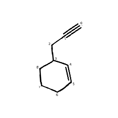 [C]#CCC1C=CCCC1